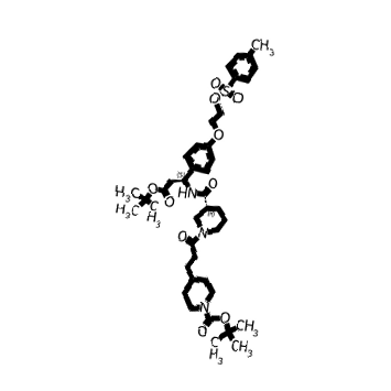 Cc1ccc(S(=O)(=O)OCCOc2ccc([C@H](CC(=O)OC(C)(C)C)NC(=O)[C@@H]3CCCN(C(=O)CCC4CCN(C(=O)OC(C)(C)C)CC4)C3)cc2)cc1